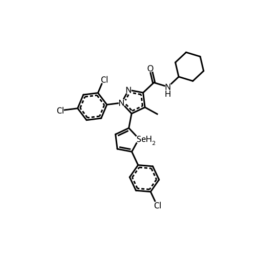 Cc1c(C(=O)NC2CCCCC2)nn(-c2ccc(Cl)cc2Cl)c1C1=CC=C(c2ccc(Cl)cc2)[SeH2]1